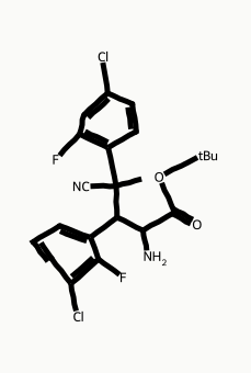 CC(C)(C)OC(=O)C(N)C(c1cccc(Cl)c1F)C(C)(C#N)c1ccc(Cl)cc1F